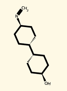 C=N[C@H]1CC[C@H]([C@H]2CC[C@H](O)CC2)CC1